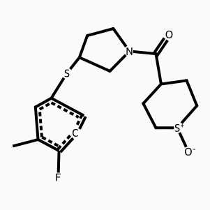 Cc1cc(SC2CCN(C(=O)C3CC[S+]([O-])CC3)C2)ccc1F